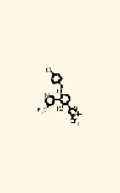 Cn1nc(-c2ccc(OCc3ccc(Cl)cc3)c(-c3cncc(C(F)(F)F)c3)c2O)cc1C(F)(F)F